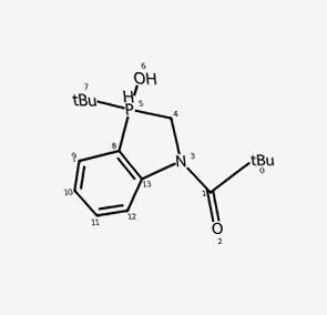 CC(C)(C)C(=O)N1C[PH](O)(C(C)(C)C)c2[c]cccc21